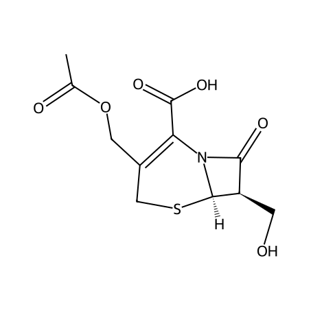 CC(=O)OCC1=C(C(=O)O)N2C(=O)[C@@H](CO)[C@H]2SC1